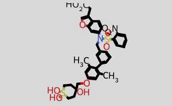 Cc1cc(OCC2(O)CCS(O)(O)CC2)cc(C)c1-c1cccc(CN(c2ccc3c(CC(=O)O)coc3c2)S(=O)(=O)c2ccccc2[N+](=O)[O-])c1